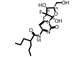 CCCC(CCC)C(=O)Nc1ccn([C@]2(O)O[C@H](CO)[C@@H](O)C2(F)F)c(=O)n1